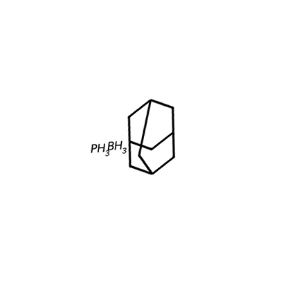 B.C1C2CC3CC1CC(C2)C3.P